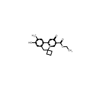 CCOC(=O)c1cn2c(cc1=O)-c1cc(C)c(O)cc1CC21CCC1